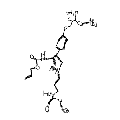 C=CCOC(=O)Nc1nn(CCCNC(=O)OC(C)(C)C)cc1-c1ccc(OCC(ON)C(=O)OC(C)(C)C)cc1